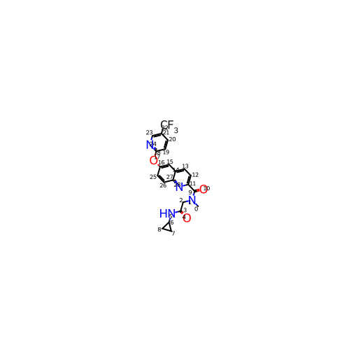 CN(CC(=O)NC1CC1)C(=O)c1ccc2cc(Oc3ccc(C(F)(F)F)cn3)ccc2n1